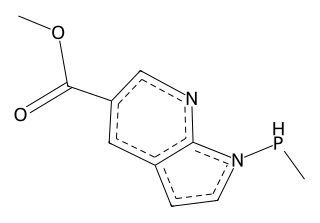 COC(=O)c1cnc2c(ccn2PC)c1